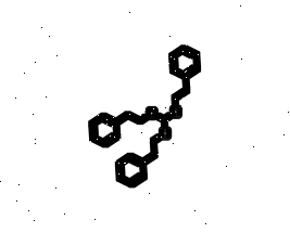 c1ccc(CCOC(OCCc2ccccc2)OCCc2ccccc2)cc1